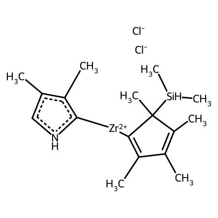 CC1=C(C)C(C)([SiH](C)C)[C]([Zr+2][c]2[nH]cc(C)c2C)=C1C.[Cl-].[Cl-]